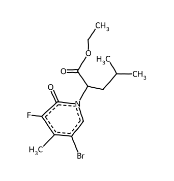 CCOC(=O)C(CC(C)C)n1cc(Br)c(C)c(F)c1=O